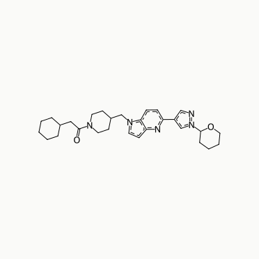 O=C(CC1CCCCC1)N1CCC(Cn2ccc3nc(-c4cnn(C5CCCCO5)c4)ccc32)CC1